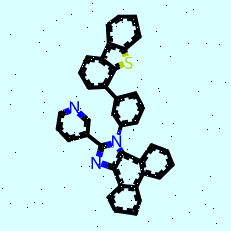 c1cncc(-c2nc3c4ccccc4c4ccccc4c3n2-c2cccc(-c3cccc4c3sc3ccccc34)c2)c1